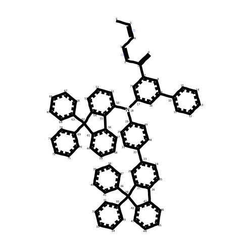 C=C(/C=C\C=C/C)c1cc(-c2ccccc2)cc(N(c2ccc(-c3ccc4c(c3)C(c3ccccc3)(c3ccccc3)c3ccccc3-4)cc2)c2cccc3c2-c2ccccc2C3(c2ccccc2)c2ccccc2)c1